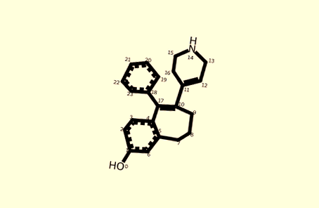 Oc1ccc2c(c1)CCCC(C1=CCNCC1)=C2c1ccccc1